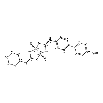 COc1ccc(-c2ccc(N[C@H]3C[C@@H]4CN(CC5CCOCC5)C[C@@H]4C3)nn2)cc1